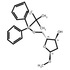 CO[C@@H]1C[C@H](O)[C@@H](CO[Si](c2ccccc2)(c2ccccc2)C(C)(C)C)O1